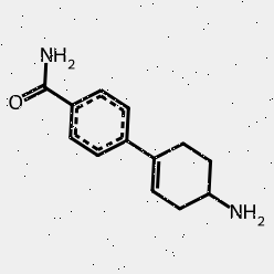 NC(=O)c1ccc(C2=CCC(N)CC2)cc1